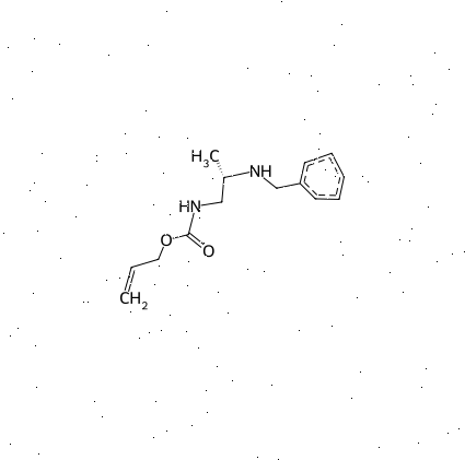 C=CCOC(=O)NC[C@H](C)NCc1ccccc1